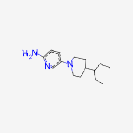 CCC(CC)C1CCN(c2ccc(N)nc2)CC1